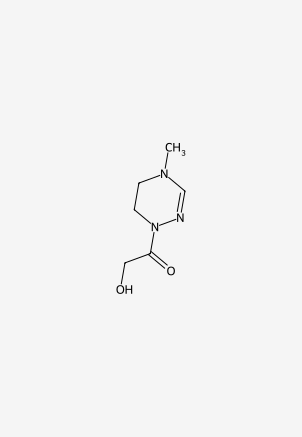 CN1C=NN(C(=O)CO)CC1